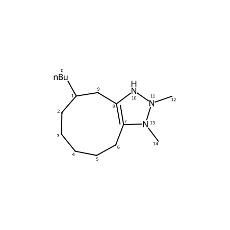 CCCCC1CCCCCC2=C(C1)NN(C)N2C